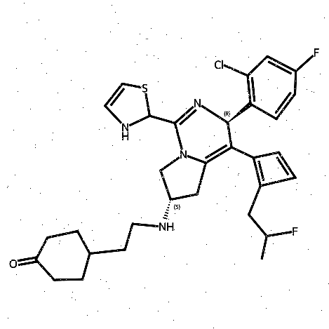 CC(F)CC1=C(C2=C3C[C@H](NCCC4CCC(=O)CC4)CN3C(C3NC=CS3)=N[C@H]2c2ccc(F)cc2Cl)C=C1